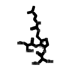 CCCCCCCCCCC(CCCCCCCC)C(=O)O[C@@H]1[C@@H](OC(=O)C(CCCCCCCC)CCCCCCCCCC)CO[C@@H]1COC(=O)NCCN(C)C